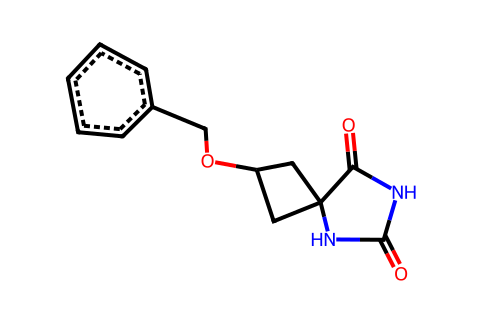 O=C1NC(=O)C2(CC(OCc3ccccc3)C2)N1